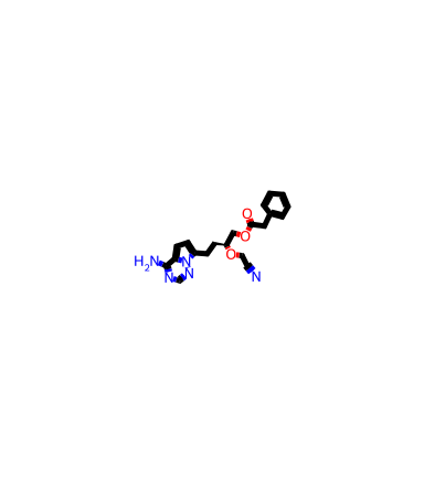 N#CCO[C@@H](CCc1ccc2c(N)ncnn12)COC(=O)Cc1ccccc1